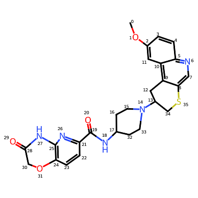 COc1ccc2ncc3c(c2c1)CC(N1CCC(NC(=O)c2ccc4c(n2)NC(=O)CO4)CC1)CS3